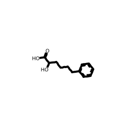 O=C(O)C(O)CCCCc1ccccc1